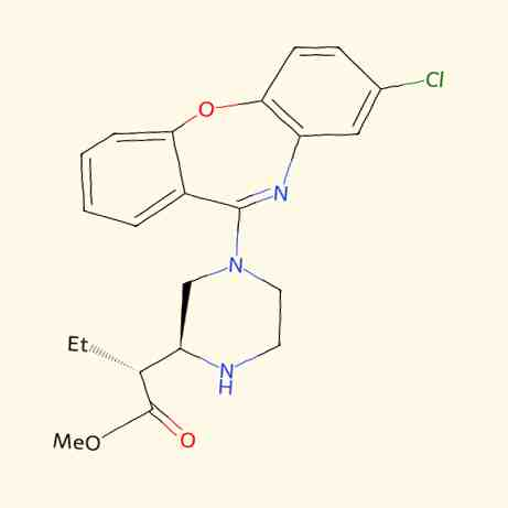 CC[C@@H](C(=O)OC)[C@H]1CN(C2=Nc3cc(Cl)ccc3Oc3ccccc32)CCN1